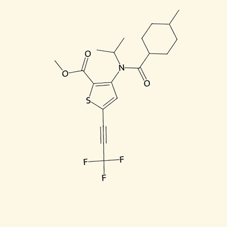 COC(=O)c1sc(C#CC(F)(F)F)cc1N(C(=O)C1CCC(C)CC1)C(C)C